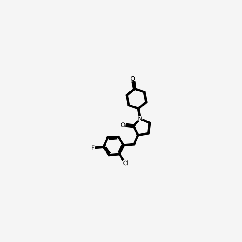 O=C1CCC(N2CCC(Cc3ccc(F)cc3Cl)C2=O)CC1